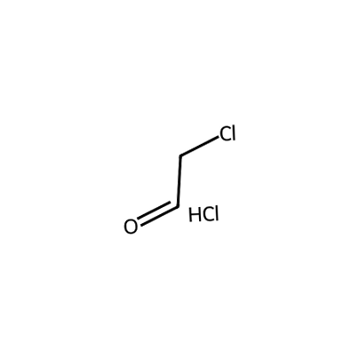 Cl.O=CCCl